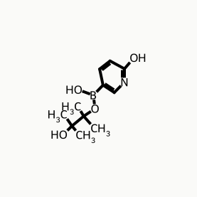 CC(C)(O)C(C)(C)OB(O)c1ccc(O)nc1